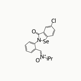 CC(C)[N+]([O-])=Cc1ccccc1-n1[se]c2ccc(Cl)cc2c1=O